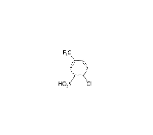 O=S(=O)(O)c1cc(C(F)(F)F)ccc1Cl